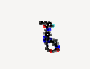 COc1ccc(F)cc1C(=O)NCc1ccc(-c2nc3n4c(cnc(N)c24)/C=C/CCOCCC(=O)N[C@@H]2CCC[C@@H]3C2)cc1